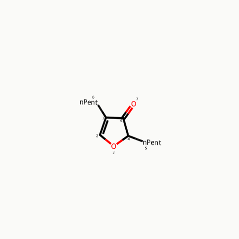 CCCCCC1=COC(CCCCC)C1=O